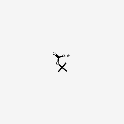 CC(C)(C)O[C](=O)[SnH]